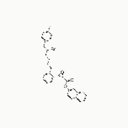 Cc1ccc(CC(Br)CCCCc2ccccc2[C@@H]2O[C@H]2C(=O)Oc2ccc3ccccc3c2)cc1